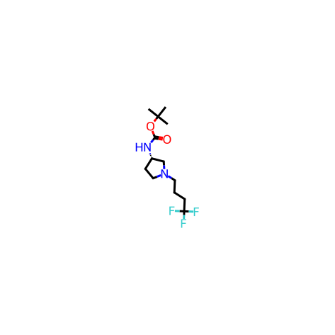 CC(C)(C)OC(=O)N[C@H]1CCN(CCCC(F)(F)F)C1